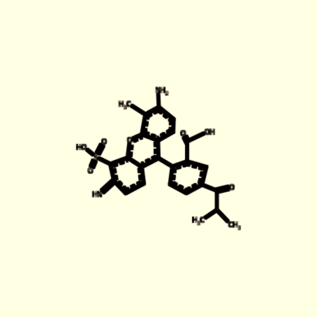 Cc1c(N)ccc2c(-c3ccc(C(=O)C(C)C)cc3C(=O)O)c3ccc(=N)c(S(=O)(=O)O)c-3oc12